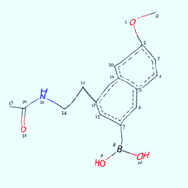 COc1ccc2cc(B(O)O)cc(CCNC(C)=O)c2c1